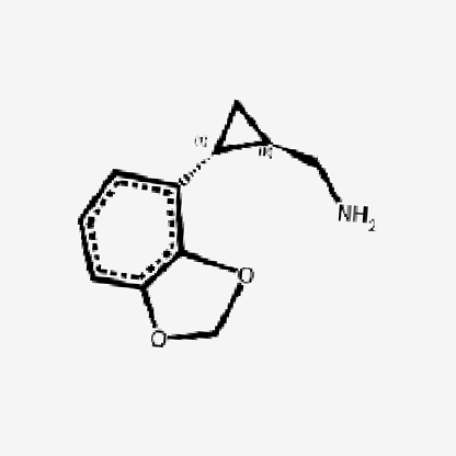 NC[C@@H]1C[C@H]1c1cccc2c1OCO2